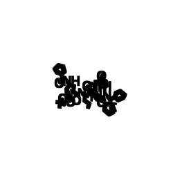 CCCC(NC(=O)C1CC(NC(=O)c2ccccc2)CN1C(=O)OC(C)(C)C)C(=NNC(=O)NC(c1ccccc1)c1ccccc1)C(=O)NCC(=O)OC